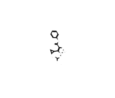 CC(C)ON1NSC(C(=O)Nc2ccccc2)=C1C1CC1